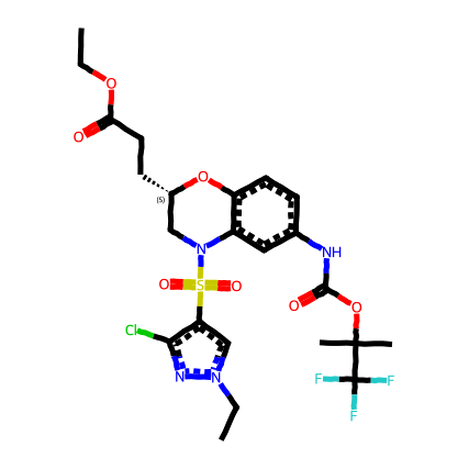 CCOC(=O)CC[C@H]1CN(S(=O)(=O)c2cn(CC)nc2Cl)c2cc(NC(=O)OC(C)(C)C(F)(F)F)ccc2O1